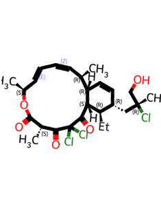 CC[C@H]1[C@@H]2C(=O)C(Cl)(Cl)C(=O)[C@H](C)C(=O)O[C@@H](C)/C=C/C=C\[C@@H](C)[C@@H]2C=C[C@@H]1C[C@@](C)(Cl)CO